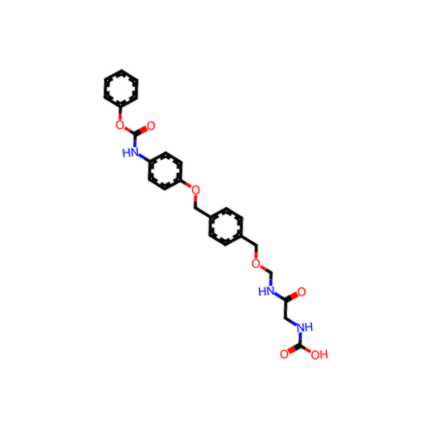 O=C(O)NCC(=O)NCOCc1ccc(COc2ccc(NC(=O)Oc3ccccc3)cc2)cc1